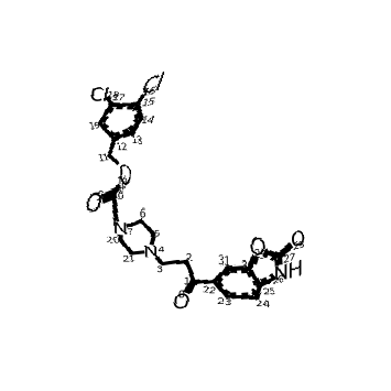 O=C(CCN1CCN(C(=O)OCc2ccc(Cl)c(Cl)c2)CC1)c1ccc2[nH]c(=O)oc2c1